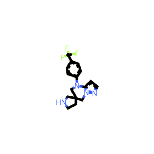 FC(F)(F)c1ccc(N2CC3(CCNC3)Cn3nccc32)cc1